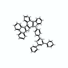 c1ccc(-c2cc(-c3ccccc3)nc(-c3ccc(-n4c5ccccc5c5c6ccccc6c6c(sc7c8ccccc8c8ccccc8c76)c54)cc3)n2)cc1